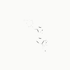 CC(C)(C)Cn1nnc2c(Br)c(Oc3ncc(F)cc3CN3CCS(O)(O)CC3)ccc21